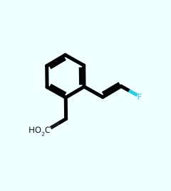 O=C(O)Cc1ccccc1C=CF